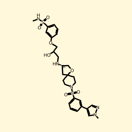 CNS(=O)(=O)c1cccc(OCC(O)CN[C@H]2COC3(CCN(S(=O)(=O)c4cccc(-c5cnn(C)c5)c4)CC3)C2)c1